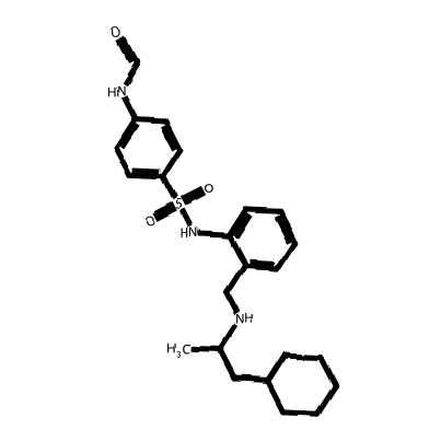 CC(CC1CCCCC1)NCc1ccccc1NS(=O)(=O)c1ccc(NC=O)cc1